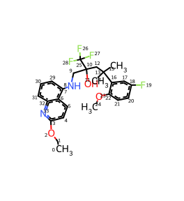 CCOc1ccc2c(NCC(O)(CC(C)(C)c3cc(F)ccc3OC)C(F)(F)F)cccc2n1